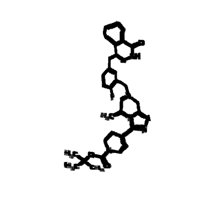 CC1CN(Cc2cc(Cc3n[nH]c(=O)c4ccccc34)ccc2F)Cc2nnc(C3CCN(C(=O)OC(C)(C)C)CC3)n21